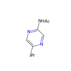 CC(=O)Nc1cnc(C(C)C)cn1